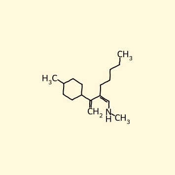 C=C(/C(=C\NC)CCCCC)C1CCC(C)CC1